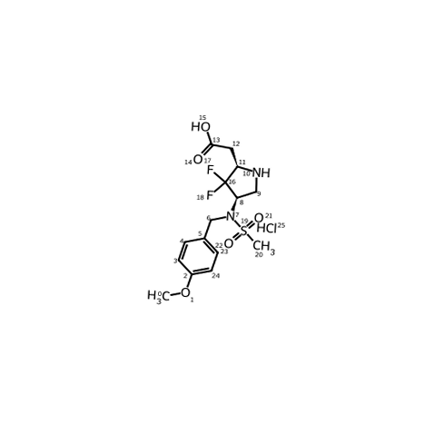 COc1ccc(CN([C@@H]2CN[C@H](CC(=O)O)C2(F)F)S(C)(=O)=O)cc1.Cl